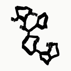 CC(C)c1cccc(C(C)C)c1NC(c1ccccc1)c1cccc(C2=C3NCCC3C=C2)n1